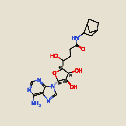 Nc1ncnc2c1ncn2[C@@H]1O[C@H](C(O)CCC(=O)NC2CC3CCC2C3)[C@@H](O)[C@H]1O